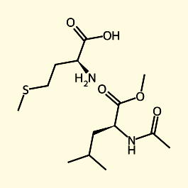 COC(=O)[C@H](CC(C)C)NC(C)=O.CSCC[C@H](N)C(=O)O